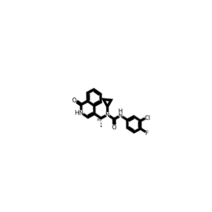 C[C@H](c1c[nH]c(=O)c2ccccc12)N(C(=O)Nc1ccc(F)c(Cl)c1)C1CC1